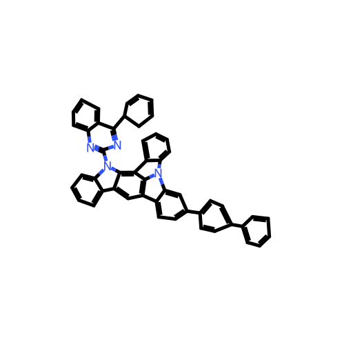 C1=CCC(c2nc(-n3c4ccccc4c4cc5c6ccc(-c7ccc(-c8ccccc8)cc7)cc6n6c7ccccc7c(c43)c56)nc3ccccc23)C=C1